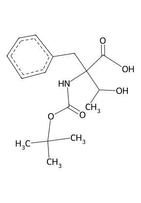 CC(O)C(Cc1ccccc1)(NC(=O)OC(C)(C)C)C(=O)O